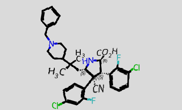 CC(C)(C[C@@H]1N[C@@H](C(=O)O)[C@H](c2cccc(Cl)c2F)[C@@]1(C#N)c1ccc(Cl)cc1F)C1CCN(Cc2ccccc2)CC1